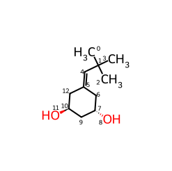 CC(C)(C)C=C1C[C@H](O)C[C@@H](O)C1